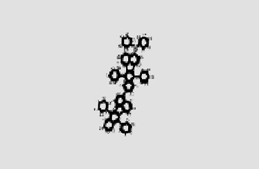 c1ccc(-c2c3c(c(-c4ccccc4)c4ccccc24)-c2ccc(-c4ccc5c(-c6ccccc6)c6c(c(-c7ccccc7)c5c4)-c4cccc5c(N(c7ccccc7)c7ccccc7)ccc-6c45)c4cccc-3c24)cc1